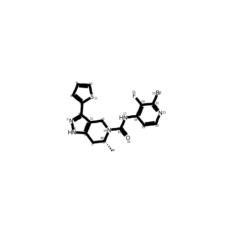 C[C@@H]1Cc2[nH]nc(-c3cccs3)c2CN1C(=O)Nc1ccnc(Br)c1F